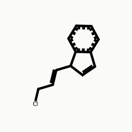 ClC/C=C/C1[C]=Cc2ccccc21